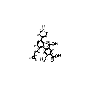 Cc1cc(-c2cc(C3=CCNCC3)ccc2OCC2CC2)c(C(=O)O)cc1C(=O)O